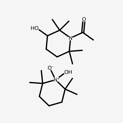 CC(=O)N1C(C)(C)CCC(O)C1(C)C.CC1(C)CCCC(C)(C)[N+]1([O-])O